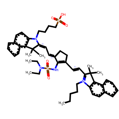 CCCCC[N+]1=C(/C=C/C2=C(NS(=O)(=O)N(CC)CC)C(=C/C=C3/N(CCCCS(=O)(=O)O)c4ccc5ccccc5c4C3(C)C)/CC2)C(C)(C)c2c1ccc1ccccc21